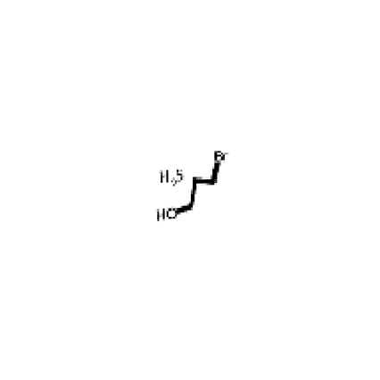 OCCCBr.S